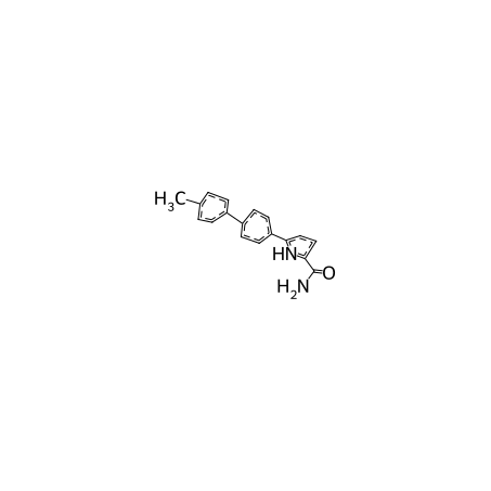 Cc1ccc(-c2ccc(-c3ccc(C(N)=O)[nH]3)cc2)cc1